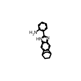 Nc1ccccc1-c1nc2cc3c(cc2[nH]1)C1CCC3CC1